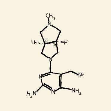 CC(C)Cc1c(N)nc(N)nc1N1C[C@H]2CN(C)C[C@H]2C1